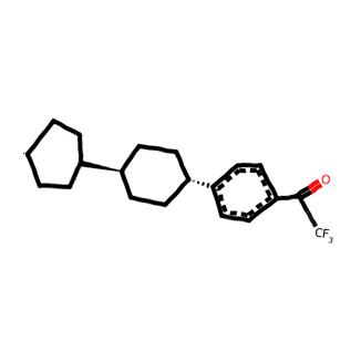 O=C(c1ccc([C@H]2CC[C@H](C3CC[CH]CC3)CC2)cc1)C(F)(F)F